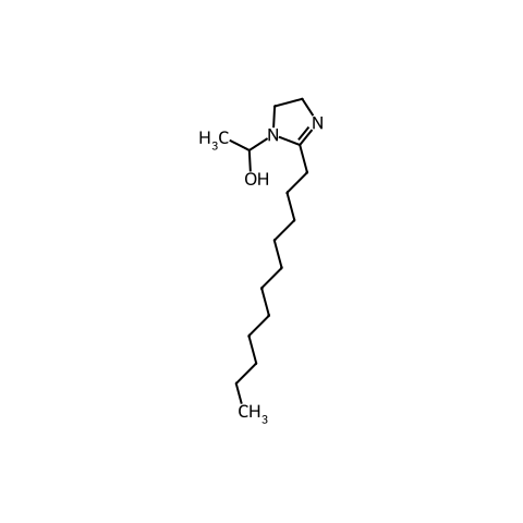 CCCCCCCCCCCC1=NCCN1C(C)O